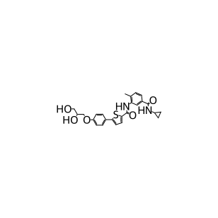 Cc1ccc(C(=O)NC2CC2)cc1NC(=O)c1ccc(-c2ccc(OCC(O)CO)cc2)s1